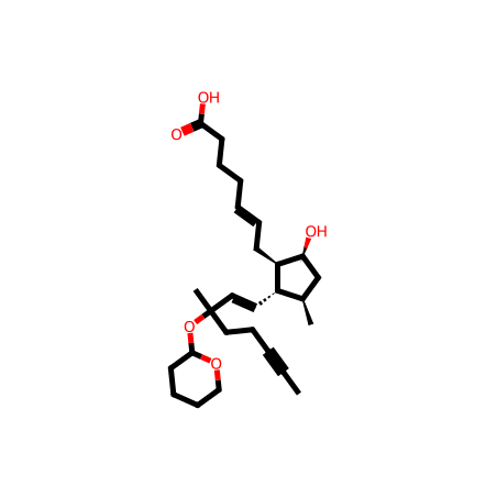 CC#CCCC(C)(C=C[C@@H]1[C@@H](CC=CCCCC(=O)O)[C@@H](O)C[C@H]1C)OC1CCCCO1